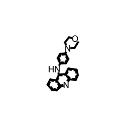 c1ccc2c(Nc3ccc(N4CCOCC4)cc3)c3ccccc3nc2c1